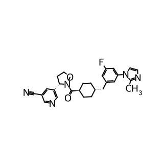 Cc1nccn1-c1cc(F)cc(C[C@H]2CC[C@H](C(=O)N3OCC[C@H]3c3cncc(C#N)c3)CC2)c1